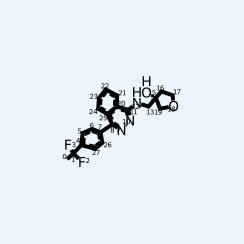 CC(F)(F)c1ccc(-c2nnc(NC[C@]3(O)CCOC3)c3ccccc23)cc1